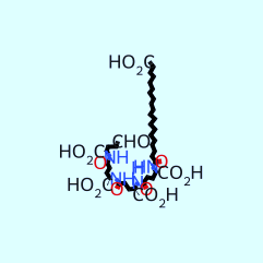 O=CCC[C@H](NC(=O)CC[C@H](NC(=O)CC[C@H](NC(=O)CC[C@H](NC(=O)CCCCCCCCCCCCCCCCCCC(=O)O)C(=O)O)C(=O)O)C(=O)O)C(=O)O